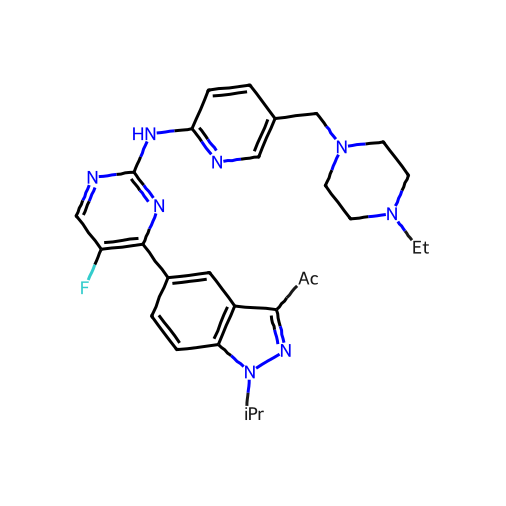 CCN1CCN(Cc2ccc(Nc3ncc(F)c(-c4ccc5c(c4)c(C(C)=O)nn5C(C)C)n3)nc2)CC1